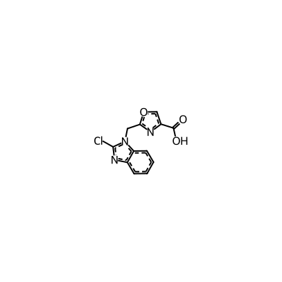 O=C(O)c1coc(Cn2c(Cl)nc3ccccc32)n1